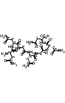 NC(=O)C[C@H](NC(=O)[C@H](CC(N)=O)NC(=O)CNC(=O)[C@H](CC(N)=O)NC(=O)CNC(=O)[C@H](CC(N)=O)NC(=O)[C@@H](N)CC(N)=O)C(=O)O